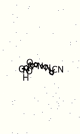 N#Cc1ccccc1CN1CCC2(CC1)CN(c1ccc3c(c1)CN(C1CCC(=O)NC1=O)C3=O)C2